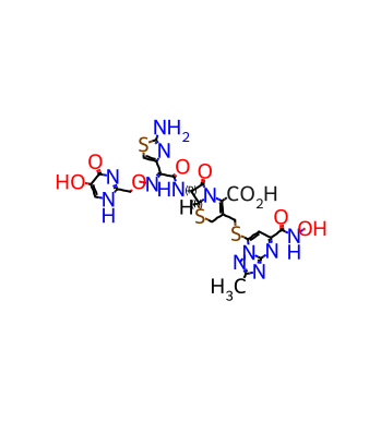 Cc1nc2nc(C(=O)NO)cc(SCC3=C(C(=O)O)N4C(=O)[C@@H](NC(=O)C(=NOCc5nc(=O)c(O)c[nH]5)c5csc(N)n5)[C@H]4SC3)n2n1